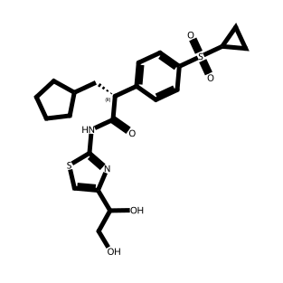 O=C(Nc1nc(C(O)CO)cs1)[C@H](CC1CCCC1)c1ccc(S(=O)(=O)C2CC2)cc1